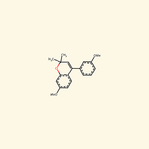 COc1cccc(C2=CC(C)(C)Oc3cc(OC)ccc32)c1